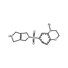 CC(=O)N1CCOc2ccc(S(=O)(=O)N3CC4=C(CNC4)C3)cc21